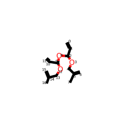 C=CC(OCC(=C)C)OC(C=C)OCC(=C)C